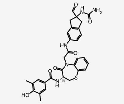 Cc1cc(C(=O)N[C@H]2CSc3ccccc3N(CC(=O)Nc3ccc4c(c3)CC(C=O)(NC(N)=O)C4)C2=O)cc(C)c1O